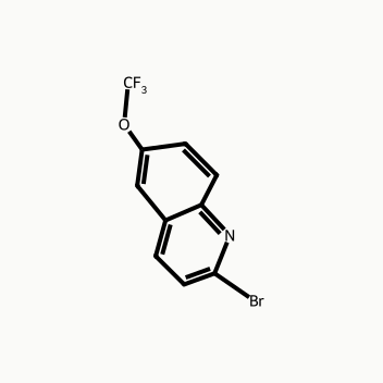 FC(F)(F)Oc1ccc2nc(Br)ccc2c1